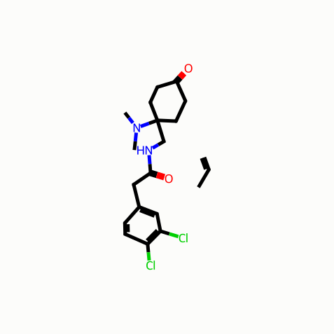 C=CC.CN(C)C1(CNC(=O)Cc2ccc(Cl)c(Cl)c2)CCC(=O)CC1